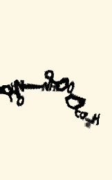 Cc1ccc(C(=O)NCCNC(=O)c2ccc(O[C@H]3CC[C@@H](C(=O)O)CC3)cc2)c(C)c1